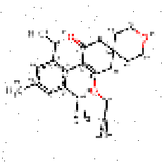 C#CCOC1=C(c2c(CC)cc(C)cc2CC)C(=O)CC2(CCOCC2)C1